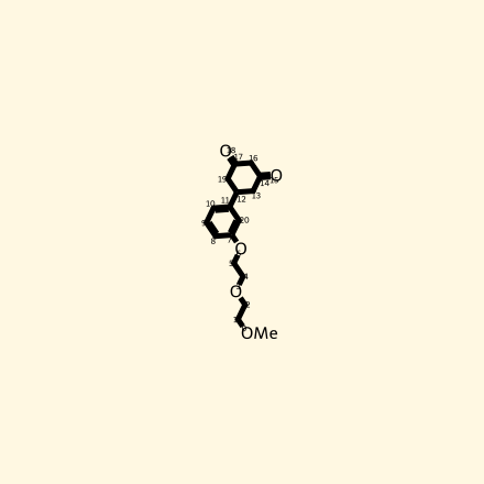 COCCOCCOc1cccc(C2CC(=O)CC(=O)C2)c1